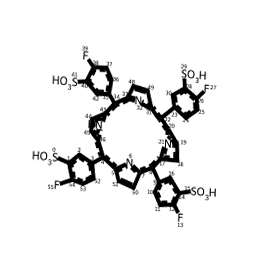 O=S(=O)(O)c1cc(-c2c3nc(c(-c4ccc(F)c(S(=O)(=O)O)c4)c4ccc([nH]4)c(-c4ccc(F)c(S(=O)(=O)O)c4)c4nc(c(-c5ccc(F)c(S(=O)(=O)O)c5)c5ccc2[nH]5)C=C4)C=C3)ccc1F